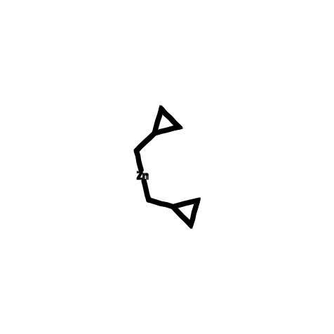 C1CC1[CH2][Zn][CH2]C1CC1